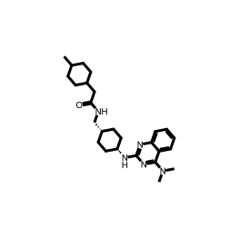 CC1CCC(CC(=O)NC[C@H]2CC[C@@H](Nc3nc(N(C)C)c4ccccc4n3)CC2)CC1